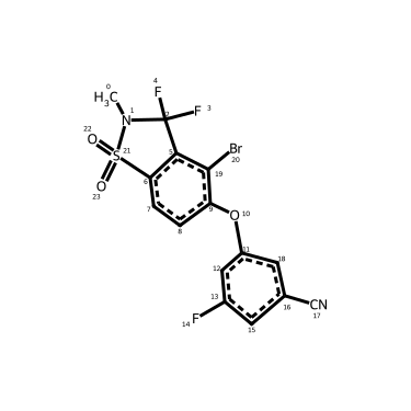 CN1C(F)(F)c2c(ccc(Oc3cc(F)cc(C#N)c3)c2Br)S1(=O)=O